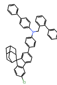 Clc1ccc2c(c1)-c1ccc(-c3ccc(N(Cc4ccccc4-c4ccccc4)c4ccc(-c5ccccc5)cc4)cc3)cc1C21C2CC3CC(C2)CC1C3